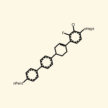 CCCCCCCc1ccc(C2=CCC(c3ccc(-c4ccc(CCCCC)cc4)cc3)CC2)c(F)c1Cl